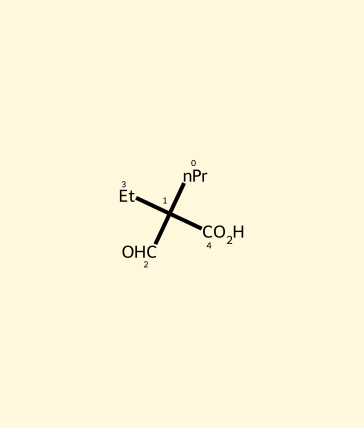 CCCC(C=O)(CC)C(=O)O